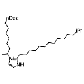 CCCCCCCCCCCCCCCCC(C)[n+]1cc[nH]c1CCCCCCCCCCCCC(C)C